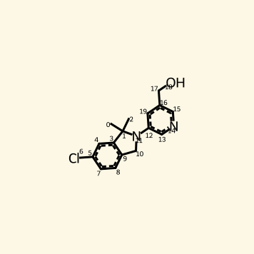 CC1(C)c2cc(Cl)ccc2CN1c1cncc(CO)c1